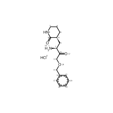 Cl.N[C@@H](C[C@@H]1CCCNC1=O)C(=O)COCc1ccccc1